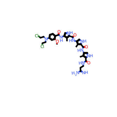 COc1cc(N(CCCl)CCCl)ccc1C(=O)Nc1c[nH]c(C(=O)Nc2c[nH]c(C(=O)Nc3c[nH]c(C(=O)NCCC(=N)N)c3C)c2C)c1C